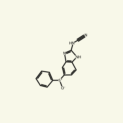 N#CNc1nc2cc([S+]([O-])c3ccccc3)ccc2[nH]1